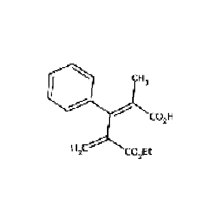 C=C(C(=O)OCC)C(=C(C)C(=O)O)c1ccccc1